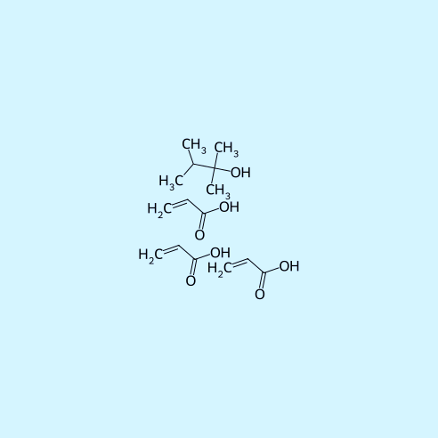 C=CC(=O)O.C=CC(=O)O.C=CC(=O)O.CC(C)C(C)(C)O